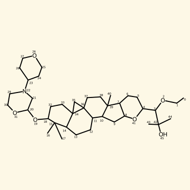 CCOC(C1CCC2C(CC3C4CCC5C(C)(C)C(OC6CN(C7CCOCC7)CCO6)CCC56CC46CCC23C)O1)C(C)(C)O